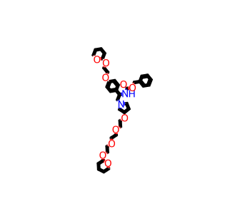 O=C(NC(CN1CC[C@@H](OCCOCCOCCOC2CCCCO2)C1)c1ccc(OCCOC2CCCCO2)cc1)OCc1ccccc1